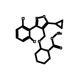 CC(C)(C)OC(=O)N1CCCCC1OCc1c(-c2c(Cl)cccc2Cl)noc1C1CC1